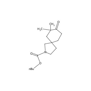 CCCCOC(=O)N1CCC2(CCC(=O)C(C)(C)C2)C1